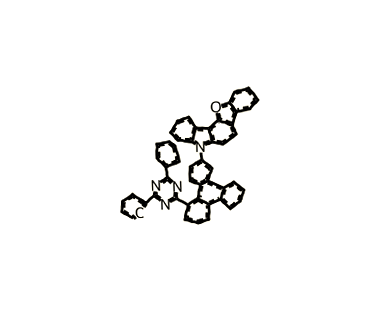 c1ccc(-c2nc(-c3ccccc3)nc(-c3cccc4c5ccccc5c5cc(-n6c7ccccc7c7c8oc9ccccc9c8ccc76)ccc5c34)n2)cc1